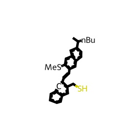 CCCCC(C)c1ccc2cc(/C=C/c3cc4ccccc4cc3CS)c(SC)cc2c1